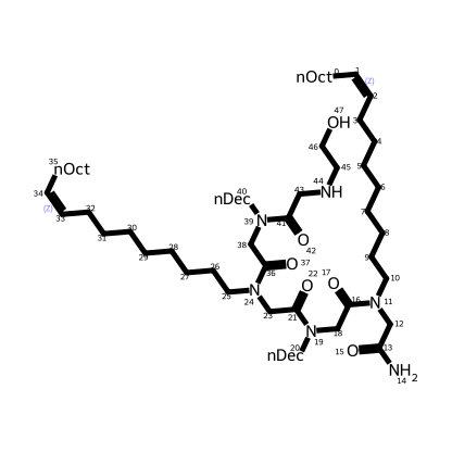 CCCCCCCC/C=C\CCCCCCCCN(CC(N)=O)C(=O)CN(CCCCCCCCCC)C(=O)CN(CCCCCCCC/C=C\CCCCCCCC)C(=O)CN(CCCCCCCCCC)C(=O)CNCCO